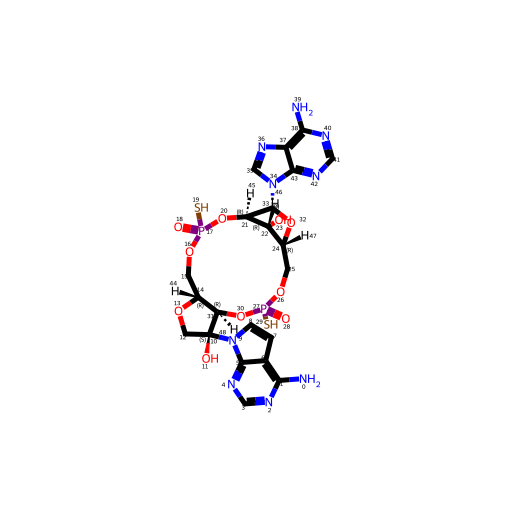 Nc1ncnc2c1ccn2[C@]1(O)CO[C@@H]2COP(=O)(S)O[C@@H]3[C@H](O)[C@@H](COP(=O)(S)O[C@H]21)O[C@H]3n1cnc2c(N)ncnc21